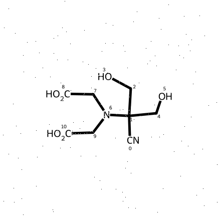 N#CC(CO)(CO)N(CC(=O)O)CC(=O)O